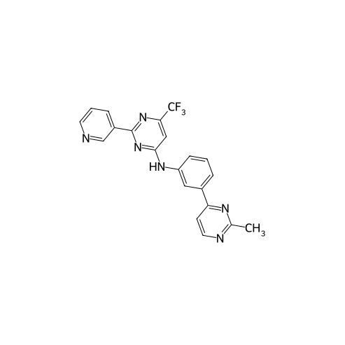 Cc1nccc(-c2cccc(Nc3cc(C(F)(F)F)nc(-c4cccnc4)n3)c2)n1